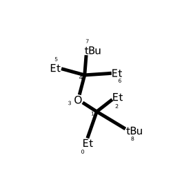 CCC(CC)(OC(CC)(CC)C(C)(C)C)C(C)(C)C